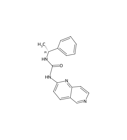 C[C@@H](NC(=O)Nc1ccc2cnccc2n1)c1ccccc1